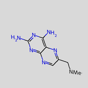 C[N]Cc1cnc2nc(N)nc(N)c2n1